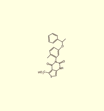 Cc1ccc(OC(C)c2ccccc2)cc1-n1c(=O)[nH]c2csc(C(=O)O)c2c1=O